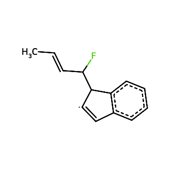 C/C=C/C(F)C1[C]=Cc2ccccc21